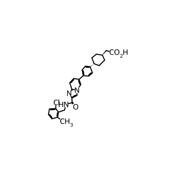 Cc1cccc(Cl)c1CNC(=O)c1cn2cc(-c3ccc([C@H]4CC[C@H](CC(=O)O)CC4)cc3)ccc2n1